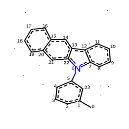 Cc1cccc(-n2c3ccccc3c3cc4ccccc4cc32)c1